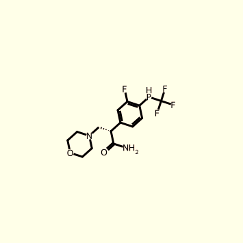 NC(=O)[C@H](CN1CCOCC1)c1ccc(PC(F)(F)F)c(F)c1